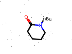 [CH2]CCCN1CCCCC1=O